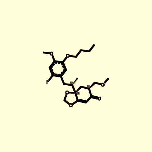 CCCCOc1cc(C[C@H](C)[C@]23C[C@@H](COC)C(=O)C=C2OCO3)c(F)cc1OC